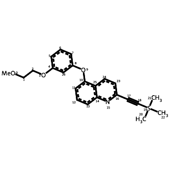 COCCOc1cccc(Oc2cccc3nc(C#CS(C)(C)C)ccc23)c1